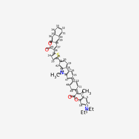 CCN(CC)c1ccc2c(C)c(-c3ccc(-c4ccc5c6ccc(-c7ccc(-c8cc9cc%10ccccc%10cc9oc8=O)s7)cc6n(C)c5c4)cc3)c(=O)oc2c1